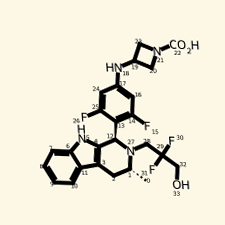 C[C@@H]1Cc2c([nH]c3ccccc23)[C@@H](c2c(F)cc(NC3CN(C(=O)O)C3)cc2F)N1CC(F)(F)CO